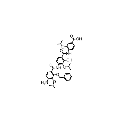 CC(C)Oc1cc(C(=O)O)ccc1NC(=O)c1ccc(NC(=O)c2ccc(N)c(OC(C)C)c2OCc2ccccc2)c(OC(C)C)c1O